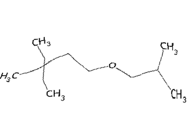 CC(C)COCCC(C)(C)C